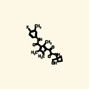 Cc1cc(NC(=O)c2c(C)c(C(=O)C(=O)NC3(CO)CCC3)n(C)c2C)ccc1F